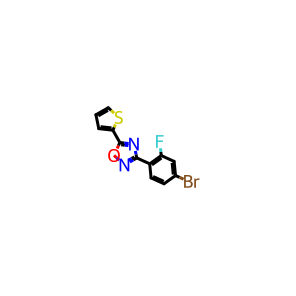 Fc1cc(Br)ccc1-c1noc(-c2cccs2)n1